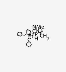 CCC(C)(Pc1c(C)cccc1CNC)c1cccc(Cc2ccccc2)c1OCc1ccccc1